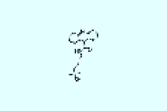 CC(C)(S)CCCCNC(=O)c1c2ccccc2nc2ccccc12